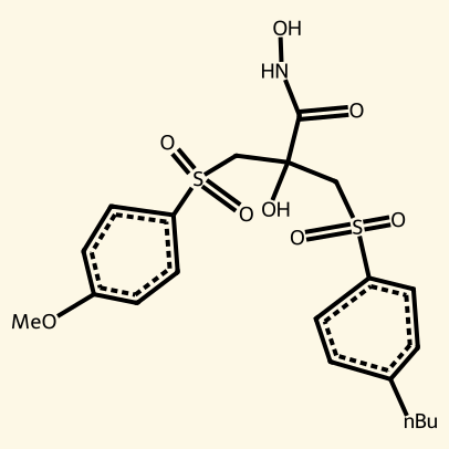 CCCCc1ccc(S(=O)(=O)CC(O)(CS(=O)(=O)c2ccc(OC)cc2)C(=O)NO)cc1